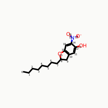 CCCCCCCCC1Cc2cc(O)c([N+](=O)[O-])cc2O1